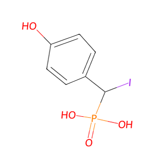 O=P(O)(O)C(I)c1ccc(O)cc1